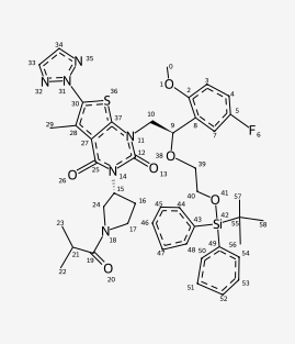 COc1ccc(F)cc1[C@H](Cn1c(=O)n([C@@H]2CCN(C(=O)C(C)C)C2)c(=O)c2c(C)c(-n3nccn3)sc21)OCCO[Si](c1ccccc1)(c1ccccc1)C(C)(C)C